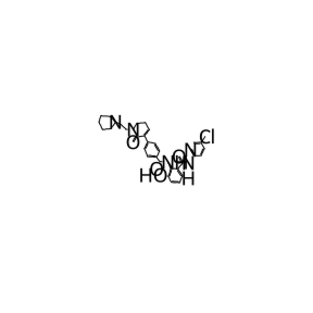 O=C(Nc1c(O)cccc1C(=O)Nc1ccc(Cl)cn1)c1ccc(C2=CCCN(CCN3CCCCC3)C2=O)cc1